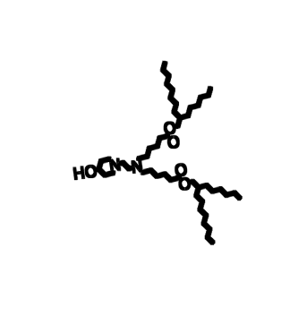 CCCCCCCCC(CCCCCC)COC(=O)CCCCCN(CCCCCC(=O)OCC(CCCCCC)CCCCCCCC)CCN1CCC(O)CC1